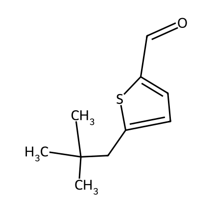 CC(C)(C)Cc1ccc(C=O)s1